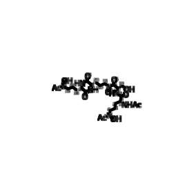 CC(=O)N[C@H](CCCN(O)C(C)=O)C(=O)N[C@H](CO)C(=O)N(O)CCC[C@@H]1NC(=O)[C@H](CCCN(O)C(C)=O)NC1=O